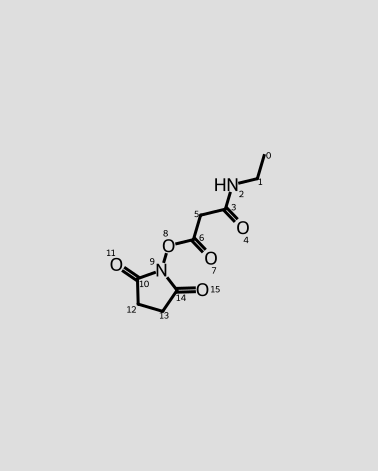 CCNC(=O)CC(=O)ON1C(=O)CCC1=O